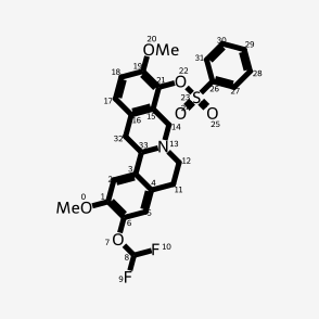 COc1cc2c(cc1OC(F)F)CCN1Cc3c(ccc(OC)c3OS(=O)(=O)c3ccccc3)CC21